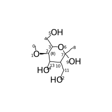 CO[C@H]1C(CO)OC(C)(O)C(CO)C1O